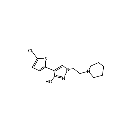 Oc1nn(CCN2CCCCC2)cc1-c1ccc(Cl)s1